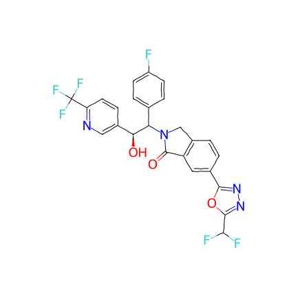 O=C1c2cc(-c3nnc(C(F)F)o3)ccc2CN1C(c1ccc(F)cc1)[C@@H](O)c1ccc(C(F)(F)F)nc1